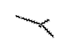 CCCCCCCCCCCCCCCCCCCN1C=CN(CCCCCCCCCCCC)C1CCCCCC